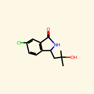 CC(C)(O)CC1NC(=O)c2cc(Cl)ccc21